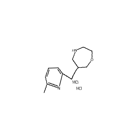 Cc1cccc(CC2CNCCOC2)n1.Cl.Cl